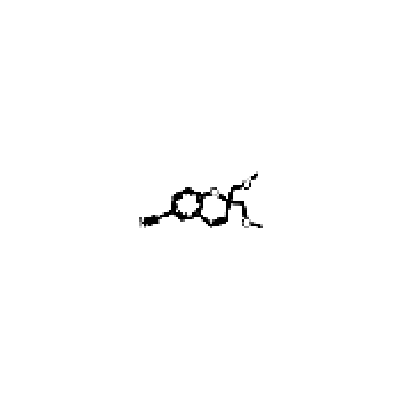 COCC1(COC)C=Cc2cc(C#N)ccc2O1